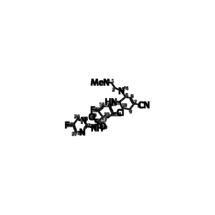 CNCCN(C)C1C=C(C#N)CCC1Nc1cc(F)c(S(=O)(=O)Nc2ncc(F)cn2)cc1Cl